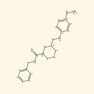 O=C(OCc1ccccc1)N1CCCC(COc2ccc(OC(F)(F)F)cc2)C1